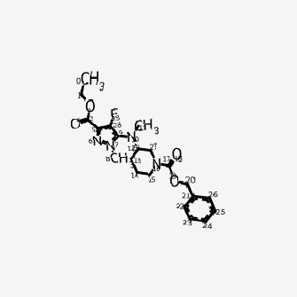 CCOC(=O)c1nn(C)c(N(C)[C@H]2CCCN(C(=O)OCc3ccccc3)C2)c1F